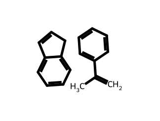 C1=Cc2ccccc2C1.C=C(C)c1ccccc1